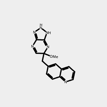 COC1(Cc2ccc3ncccc3c2)C=NC2=NNNC2=N1